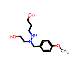 COc1ccc(CN(CCO)NCCCO)cc1